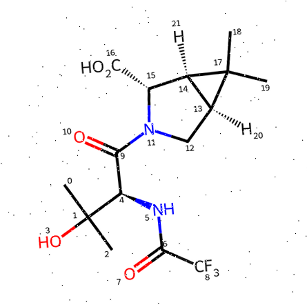 CC(C)(O)[C@H](NC(=O)C(F)(F)F)C(=O)N1C[C@H]2[C@@H]([C@H]1C(=O)O)C2(C)C